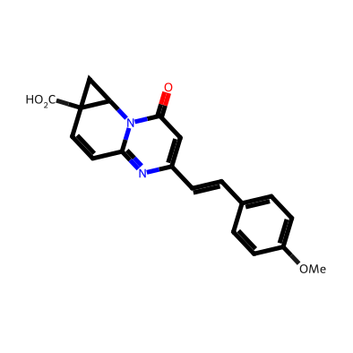 COc1ccc(/C=C/c2cc(=O)n3c(n2)C=CC2(C(=O)O)CC32)cc1